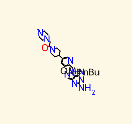 CCCCNc1nc(N)nc2cnn(Cc3ncc(C4CCN(C(=O)CN5CCN(C)CC5)CC4)cc3OC)c12